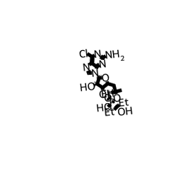 CCC(C)(CC1O[C@@H](n2cnc3c(Cl)nc(N)nc32)[C@H](O)C1O)OP(=O)(O)C(O)(CC)CC